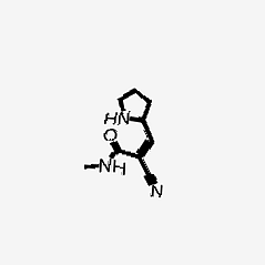 CNC(=O)C(C#N)=CC1CCCN1